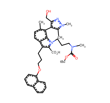 Cc1ccc2c(CCCOc3cccc4ccccc34)c(C(=O)O)n(CCCN(C)C(=O)OC(C)(C)C)c2c1-c1c(CO)nn(C)c1C